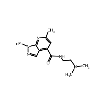 CCCn1ncc2c(C(=O)NCCN(C)C)cc(C)nc21